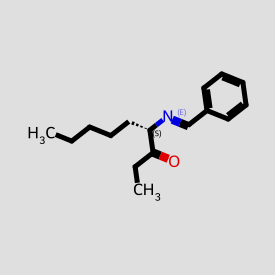 CCCCC[C@H](/N=C/c1ccccc1)C(=O)CC